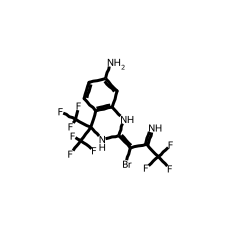 N=C(/C(Br)=C1\Nc2cc(N)ccc2C(C(F)(F)F)(C(F)(F)F)N1)C(F)(F)F